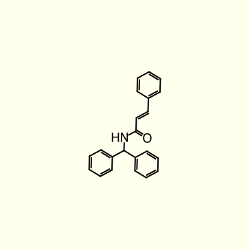 O=C(/C=C/c1ccccc1)NC(c1ccccc1)c1ccccc1